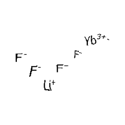 [F-].[F-].[F-].[F-].[Li+].[Yb+3]